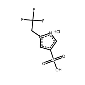 Cl.O=S(=O)(O)c1cnn(CC(F)(F)F)c1